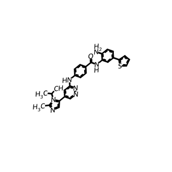 Cc1ncc(-c2cnnc(Nc3ccc(C(=O)Nc4cc(-c5cccs5)ccc4N)cc3)c2)n1C(C)C